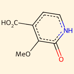 COc1c(C(=O)O)cc[nH]c1=O